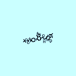 COc1nc(NC(=O)c2ccc(N3CCC(C)(N(C)C(=O)OC(C)(C)C)CC3)c3cn(C)nc23)cn2cc(C)nc12